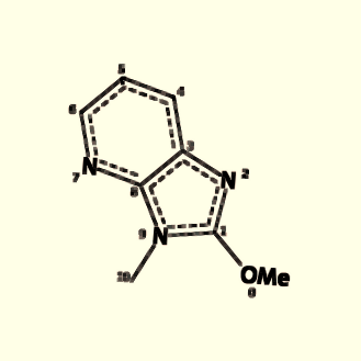 COc1nc2c[c]cnc2n1C